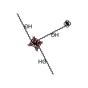 CCCCCCCCCCCC(O)CCCCCCCCCCCC(OCCC)(OCCC)C(OCCC)(OCCC)[N+](C)(C(OCCC)(OCCC)C(CCCCCCCCCCCC(O)CCCCCCCCCCC)(OCCC)OCCC)C(OCCC)(OCCC)C(CCCCCCCCCCCC(O)CCCCCCCCCCC)(OCCC)OCCC.COS(=O)(=O)[O-]